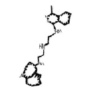 Cc1nnc(NCCNCCNc2ccnc3ccccc23)c2ccccc12